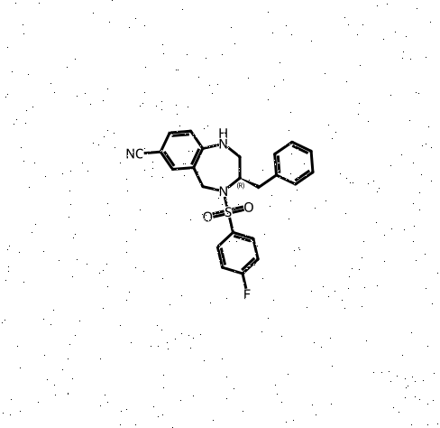 N#Cc1ccc2c(c1)CN(S(=O)(=O)c1ccc(F)cc1)[C@H](Cc1ccccc1)CN2